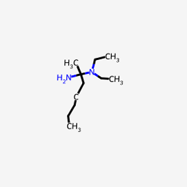 CCCCCC(C)(N)N(CC)CC